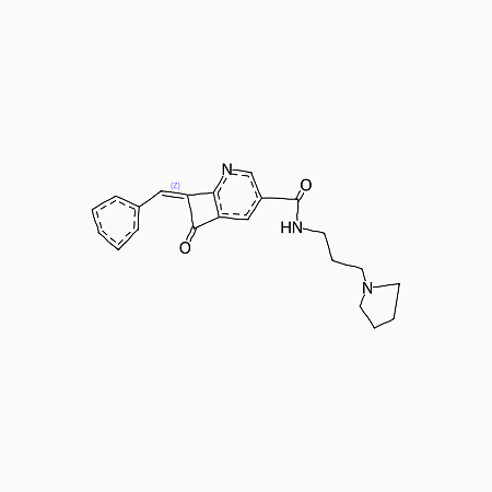 O=C(NCCCN1CCCC1)c1cnc2c(c1)C(=O)/C2=C\c1ccccc1